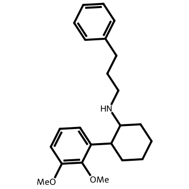 COc1cccc(C2CCCCC2NCCCc2ccccc2)c1OC